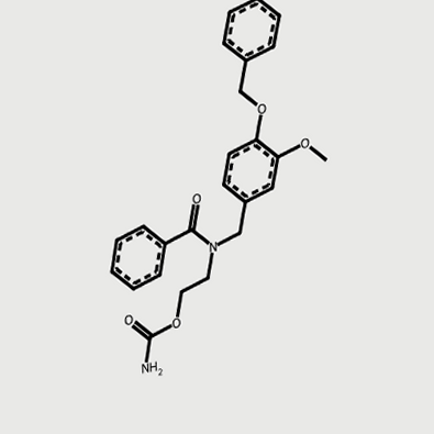 COc1cc(CN(CCOC(N)=O)C(=O)c2ccccc2)ccc1OCc1ccccc1